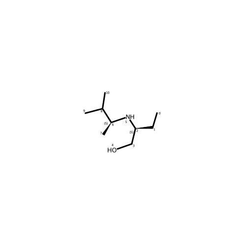 CC[C@@H](CO)N[C@@H](C)C(C)C